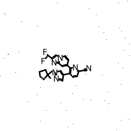 CC1(Cn2cc(-c3ccc(C#N)nc3-c3ccn4cc(C(F)F)nc4c3)cn2)CCCC1